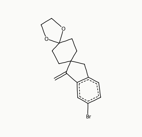 C=C1c2cc(Br)ccc2CC12CCC1(CC2)OCCO1